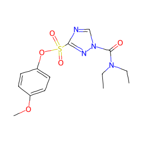 CCN(CC)C(=O)n1cnc(S(=O)(=O)Oc2ccc(OC)cc2)n1